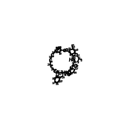 CC(C)C[C@H]1NC(=O)c2ccc(F)cc2OCc2cn(nn2)CCCCCCCCNC[C@H](Cc2ccccc2)N(C)C(=O)[C@H]2CCCN2C1=O